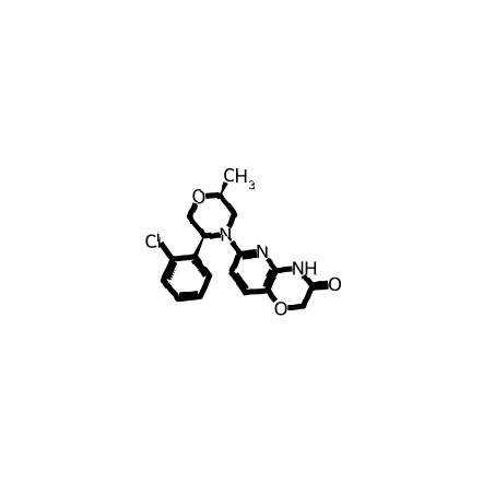 C[C@H]1CN(c2ccc3c(n2)NC(=O)CO3)[C@@H](c2ccccc2Cl)CO1